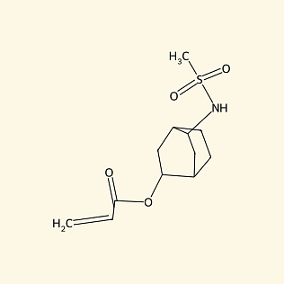 C=CC(=O)OC1CC2CCC1CC2NS(C)(=O)=O